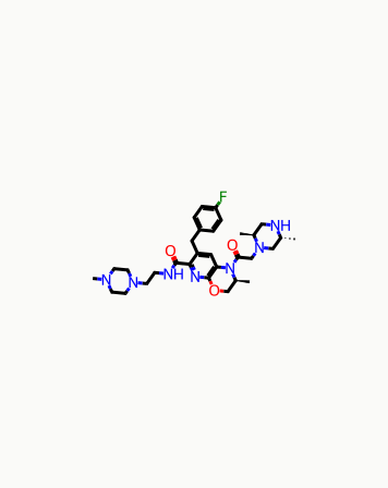 C[C@@H]1CN(CC(=O)N2c3cc(Cc4ccc(F)cc4)c(C(=O)NCCN4CCN(C)CC4)nc3OC[C@@H]2C)[C@@H](C)CN1